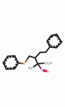 CCOC(=O)C(C)(P=O)C(CCc1ccccc1)CSc1ccccc1